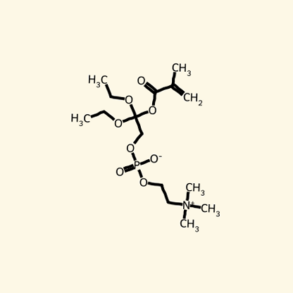 C=C(C)C(=O)OC(COP(=O)([O-])OCC[N+](C)(C)C)(OCC)OCC